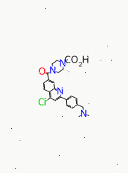 C[C@@H]1CN(C(=O)c2ccc3c(Cl)cc(-c4ccc(CN(C)C)cc4)nc3c2)CCN1C(=O)O